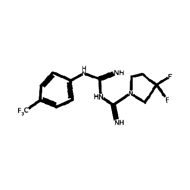 N=C(NC(=N)N1CCC(F)(F)C1)Nc1ccc(C(F)(F)F)cc1